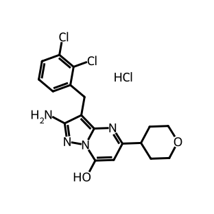 Cl.Nc1nn2c(O)cc(C3CCOCC3)nc2c1Cc1cccc(Cl)c1Cl